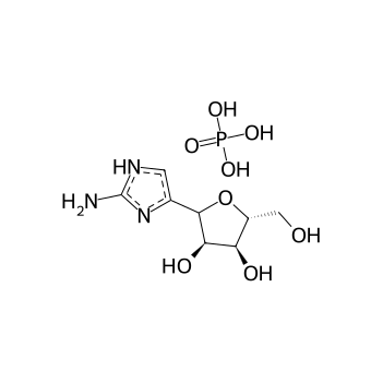 Nc1nc(C2O[C@H](CO)[C@@H](O)[C@H]2O)c[nH]1.O=P(O)(O)O